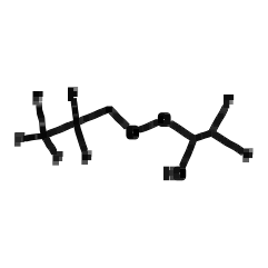 OC(OOCC(F)(F)C(F)(F)F)C(F)F